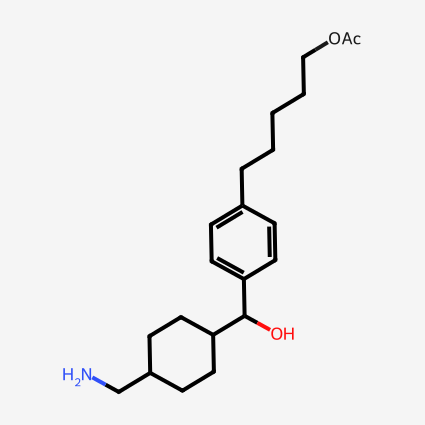 CC(=O)OCCCCCc1ccc(C(O)C2CCC(CN)CC2)cc1